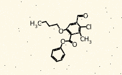 CCCCOc1cc(C=O)c(Cl)c(C)c1C(=O)Oc1ccccc1